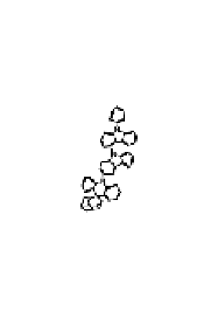 c1ccc(-n2c3ccccc3c3c(-n4c5ccccc5c5cc(N6c7ccccc7C7(c8ccccc86)C6CC8CC(C6)CC7C8)ccc54)cccc32)cc1